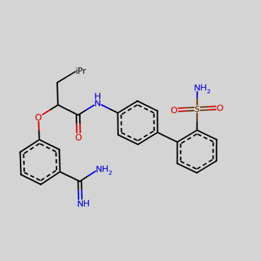 CC(C)CC(Oc1cccc(C(=N)N)c1)C(=O)Nc1ccc(-c2ccccc2S(N)(=O)=O)cc1